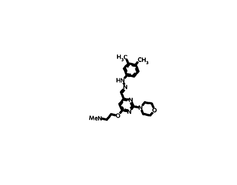 CNCCOc1cc(C=NNc2ccc(C)c(C)c2)nc(N2CCOCC2)n1